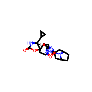 Cc1noc(N2C3CCC2CC(N2CCC4(CC2)OC(=O)NC4C2CC2)C3)n1